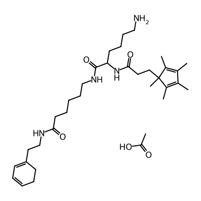 CC(=O)O.CC1=C(C)C(C)(CCC(=O)NC(CCCCN)C(=O)NCCCCCC(=O)NCCC2=CC=CCC2)C(C)=C1C